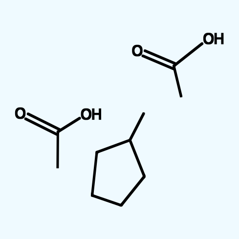 CC(=O)O.CC(=O)O.CC1CCCC1